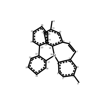 Cc1ccc2c(c1)C=Cc1cc(C)ccc1N2c1ccccc1-c1ccccc1